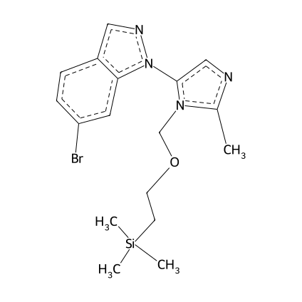 Cc1ncc(-n2ncc3ccc(Br)cc32)n1COCC[Si](C)(C)C